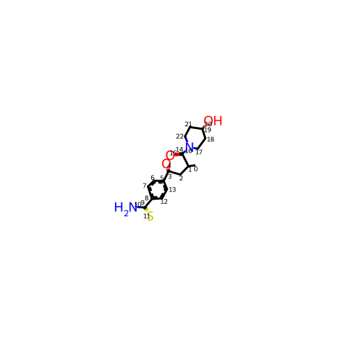 CC(CC(=O)c1ccc(C(N)=S)cc1)C(=O)N1CCC(O)CC1